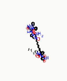 Cn1c(=O)n(C2CCC(=O)NC2=O)c2cccc(CCCCCCCC(=O)N3CCC4CC[C@@H](C(=O)N[C@@H](CCC(N)=O)C(=O)NC(c5ccccc5)c5ccccc5)N4C(=O)[C@@H](N)C3)c21